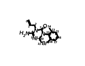 C=CCN(C(=N)N)C(=O)N(CC)c1c(C)cccc1Br